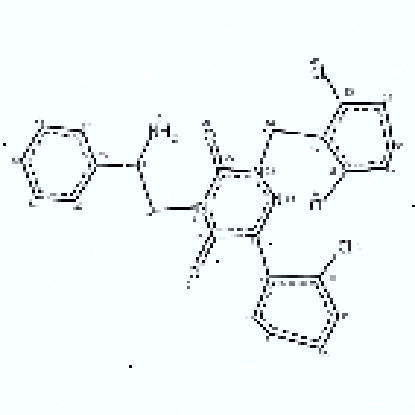 NC(Cn1c(=O)c(-c2ccccc2Cl)nn(Cc2c(Cl)cccc2Cl)c1=O)c1ccccc1